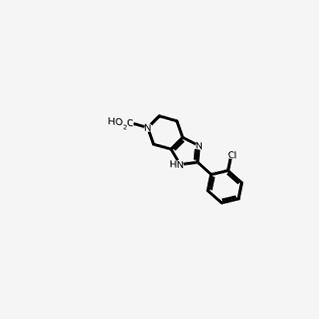 O=C(O)N1CCc2nc(-c3ccccc3Cl)[nH]c2C1